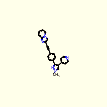 Cn1cc(-c2ccncc2)c(-c2ccc(C#Cc3cn4ccccc4n3)cc2)n1